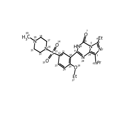 CCCc1nc(CC)n2c(=O)[nH]c(-c3cc(S(=O)(=O)N4CCN(C)CC4)ccc3OCC)nc12